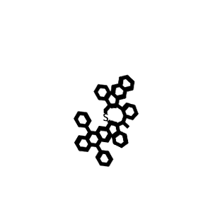 CC1/C(C2=CCCC=C2)=C(/c2ccc3c(c2)C(C2C=CCCC2)=C2C=CC=CC2C3C2=CCCC=C2)SC/C(C2=CCCCC2)=C(/c2ccc3ccccc3c2)C2=CCCCC21